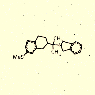 CSc1ccc2c(c1)CC(C(C)(C)N1Cc3ccccc3C1)CC2